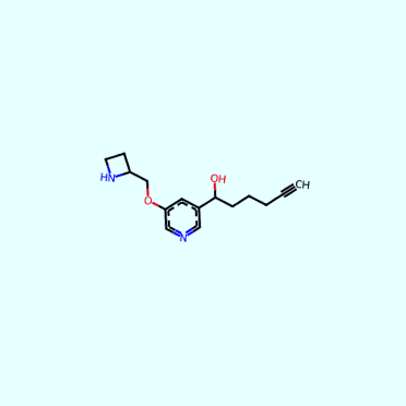 C#CCCCC(O)c1cncc(OCC2CCN2)c1